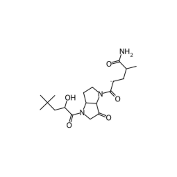 CC(C[CH]C(=O)N1CCC2C1C(=O)CN2C(=O)C(O)CC(C)(C)C)C(N)=O